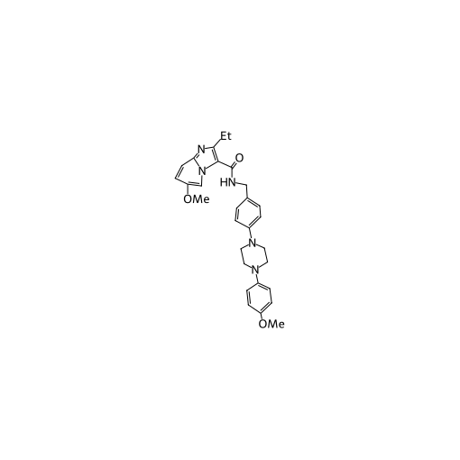 CCc1nc2ccc(OC)cn2c1C(=O)NCc1ccc(N2CCN(c3ccc(OC)cc3)CC2)cc1